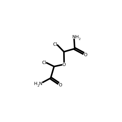 NC(=O)C(Cl)OC(Cl)C(N)=O